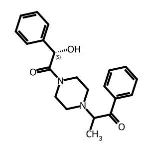 CC(C(=O)c1ccccc1)N1CCN(C(=O)[C@@H](O)c2ccccc2)CC1